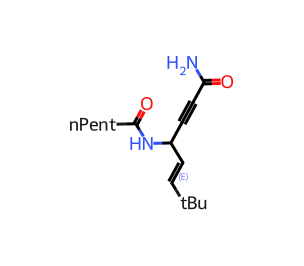 CCCCCC(=O)NC(C#CC(N)=O)/C=C/C(C)(C)C